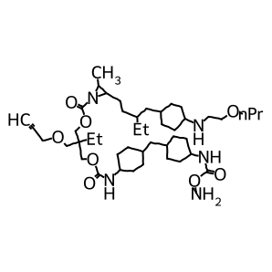 C#CCOCC(CC)(COC(=O)NC1CCC(CC2CCC(NC(=O)ON)CC2)CC1)COC(=O)N1C(C)C1CCC(CC)CC1CCC(NCCOCCC)CC1